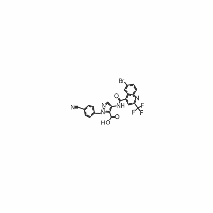 N#Cc1ccc(Cn2ncc(NC(=O)c3cc(C(F)(F)F)nc4ccc(Br)cc34)c2C(=O)O)cc1